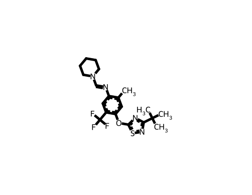 Cc1cc(Oc2nc(C(C)(C)C)ns2)c(C(F)(F)F)cc1N=CN1CCCCC1